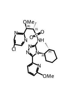 COc1cccc(-c2nnc(NS(=O)(=O)[C@@H](C)[C@H](OC)c3ncc(Cl)cn3)n2[C@@H]2CCCC[C@H]2C)n1